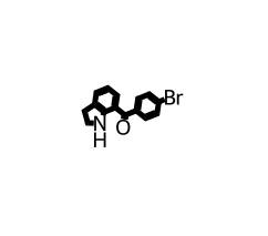 O=C(c1ccc(Br)cc1)c1cccc2c1NCC2